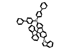 C1=CCC(c2ccc(N(c3ccc(-c4ccccc4)cc3)c3ccc4c(c3)C3(c5ccccc5-c5ccccc53)c3cc(-n5ccc6ccccc65)ccc3-4)cc2)C=C1